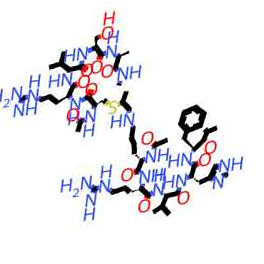 CNC(=O)[C@H](C)NC(=O)[C@H](CO)NC(=O)[C@@H](NC(=O)[C@H](CCCNC(=N)N)NC(=O)[C@H](CSC(C)CNCCCC[C@H](NC(C)=O)C(=O)N[C@@H](CCCNC(=N)N)C(=O)N[C@H](C(=O)N[C@@H](Cc1c[nH]cn1)C(=O)N[C@@H](Cc1ccccc1)C(=O)C(C)C)C(C)C)NC(C)=O)C(C)C